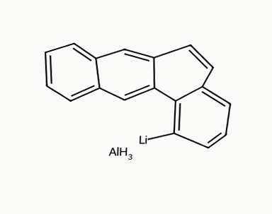 [AlH3].[Li][c]1cccc2ccc3cc4ccccc4cc3c12